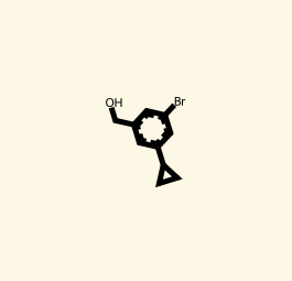 OCc1cc(Br)cc(C2CC2)c1